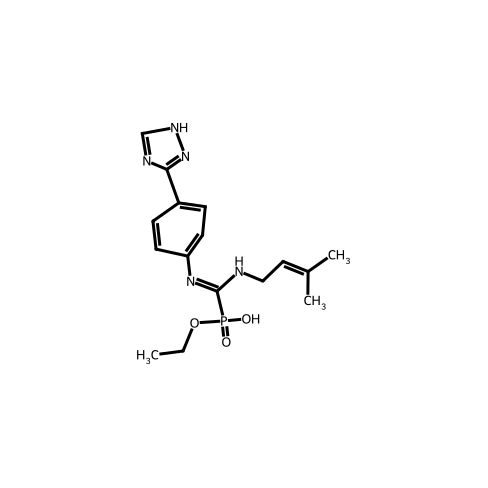 CCOP(=O)(O)C(=Nc1ccc(-c2nc[nH]n2)cc1)NCC=C(C)C